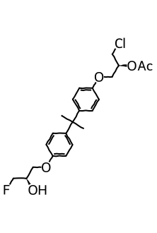 CC(=O)O[C@H](CCl)COc1ccc(C(C)(C)c2ccc(OC[C@@H](O)CF)cc2)cc1